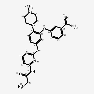 CN1CCN(c2ccc(Sc3nccc(NC(=O)CN)n3)cc2Oc2cccc(C(=N)N)c2)CC1